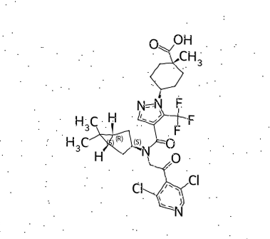 CC1(C)[C@@H]2C[C@@H](N(CC(=O)c3c(Cl)cncc3Cl)C(=O)c3cnn([C@H]4CC[C@](C)(C(=O)O)CC4)c3C(F)(F)F)C[C@@H]21